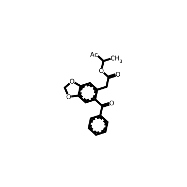 CC(=O)C(C)OC(=O)Cc1cc2c(cc1C(=O)c1ccccc1)OCO2